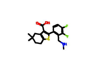 CNCc1c(-c2sc3c(c2C(=O)O)CC(C)(C)CC3)ccc(F)c1F